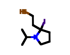 CC(C)N1CCCC1(I)CCS